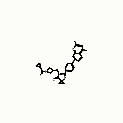 Cc1cc(Cl)nc2cc(-c3ccc(C4=NC5(CC5)C(=O)N4CC4CN(C(=O)C5CC5)C4)cc3)ccc12